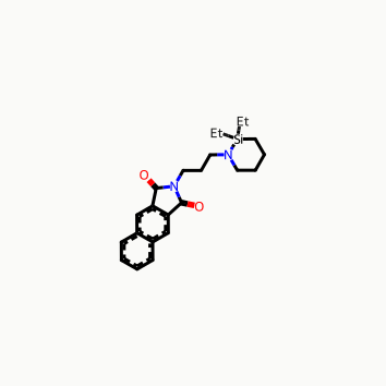 CC[Si]1(CC)CCCCN1CCCN1C(=O)c2cc3ccccc3cc2C1=O